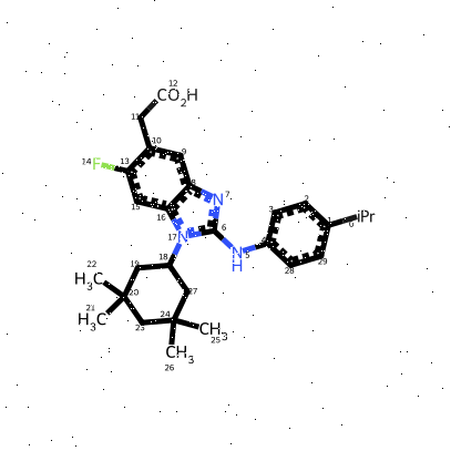 CC(C)c1ccc(Nc2nc3cc(CC(=O)O)c(F)cc3n2C2CC(C)(C)CC(C)(C)C2)cc1